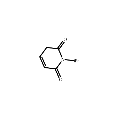 CC(C)N1C(=O)C=CCC1=O